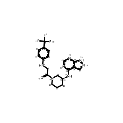 O=C(CNc1ccc(C(F)(F)F)cc1)N1CCC[C@H](Nc2ncnc3[nH]ncc23)C1